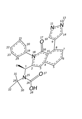 C[C@@H](c1cc2cccc(-c3cnn(C)c3)c2c(=O)n1-c1ccccc1)N(C(=O)O)C(C)(C)C